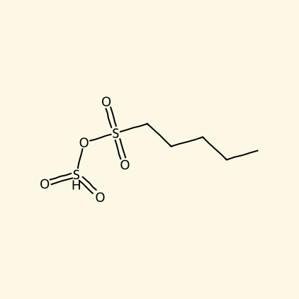 CCCCCS(=O)(=O)O[SH](=O)=O